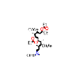 CCC(=O)O[C@H](CC)C[C@H](OC)[C@@H](C)CC[C@H](OC(=O)CC)[C@H](C)[C@H](OC)[C@H](C)/C=C/N(C)C=O